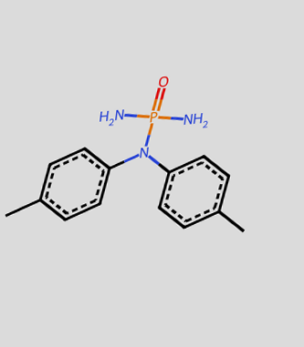 Cc1ccc(N(c2ccc(C)cc2)P(N)(N)=O)cc1